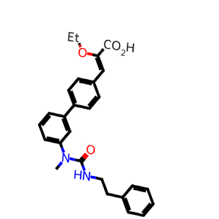 CCO/C(=C\c1ccc(-c2cccc(N(C)C(=O)NCCc3ccccc3)c2)cc1)C(=O)O